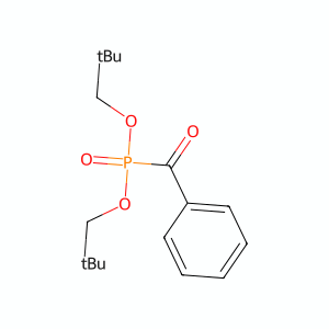 CC(C)(C)COP(=O)(OCC(C)(C)C)C(=O)c1ccccc1